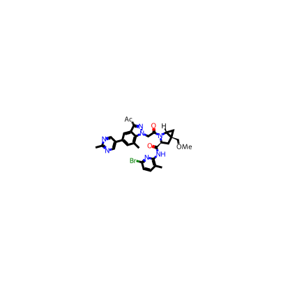 COC[C@@]12C[C@@H](C(=O)Nc3nc(Br)ccc3C)N(C(=O)Cn3nc(C(C)=O)c4cc(-c5cnc(C)nc5)cc(C)c43)[C@@H]1C2